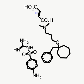 CN(C)CCCOC1(Cc2ccccc2)CCCCCC1.N=C(N)NS(=O)(=O)c1ccc(N)cc1.O=C(O)/C=C/C(=O)O